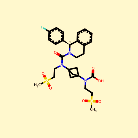 CS(=O)(=O)CCN(C(=O)O)C12CC(N(CCS(C)(=O)=O)C(=O)N3CCc4ccccc4[C@@H]3c3ccc(F)cc3)(C1)C2